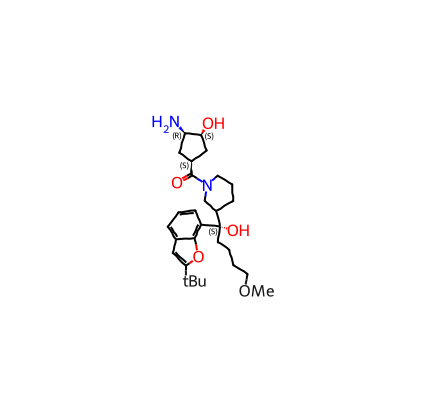 COCCCC[C@@](O)(c1cccc2cc(C(C)(C)C)oc12)C1CCCN(C(=O)[C@H]2C[C@@H](N)[C@@H](O)C2)C1